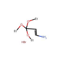 Br.CCOC(C=CN)(OCC)OCC